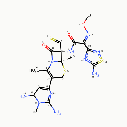 CCO/N=C(\C(=O)N[C@@]1(C=S)C(=O)N2C(C(=O)O)=C(C3=CC(N)N(C)C(N)=N3)CS[C@@H]21)c1nsc(N)n1